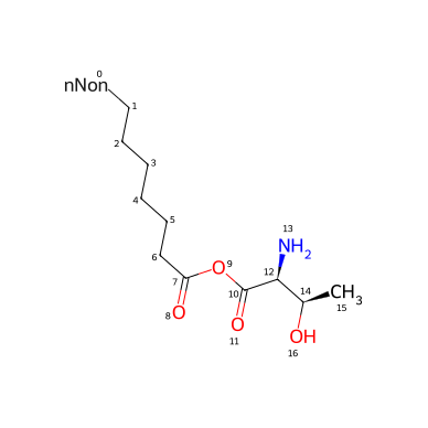 CCCCCCCCCCCCCCCC(=O)OC(=O)[C@@H](N)[C@@H](C)O